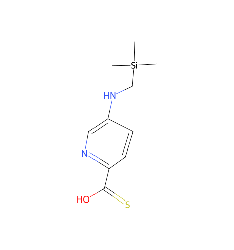 C[Si](C)(C)CNc1ccc(C(O)=S)nc1